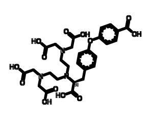 O=C(O)CN(CCN(CCN(CC(=O)O)CC(=O)O)[C@@H](Cc1ccc(Oc2ccc(C(=O)O)cc2)cc1)C(=O)O)CC(=O)O